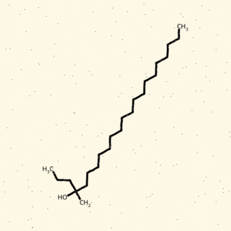 [CH2]C(O)(CCC)CCCCCCCCCCCCCCCCCC